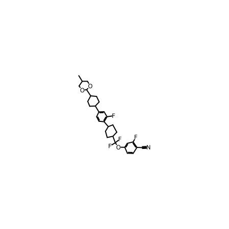 CC1COC(C2CCC(c3ccc(C4CCC(C(F)(F)Oc5ccc(C#N)c(F)c5)CC4)c(F)c3)CC2)OC1